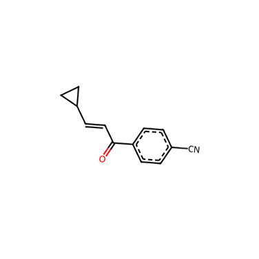 N#Cc1ccc(C(=O)C=CC2CC2)cc1